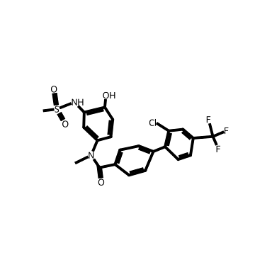 CN(C(=O)c1ccc(-c2ccc(C(F)(F)F)cc2Cl)cc1)c1ccc(O)c(NS(C)(=O)=O)c1